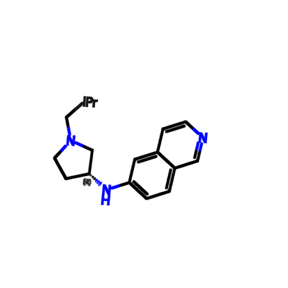 CC(C)CN1CC[C@@H](Nc2ccc3cnccc3c2)C1